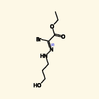 CCOC(=O)/C(Br)=N/NCCCO